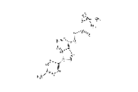 Cc1ccc(-n2ncc3c(OCC(=O)OC(C)(C)C)cccc32)cc1